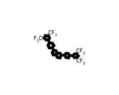 FC(F)(F)c1cc(-c2ccc(-c3ccc4ccc(-c5ccc(-c6cc(C(F)(F)F)cc(C(F)(F)F)c6)cc5)cc4c3)cc2)cc(C(F)(F)F)c1